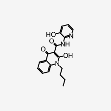 CCCCn1c(O)c(C(=O)Nc2ncccc2O)c(=O)c2ccccc21